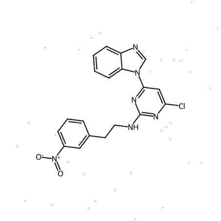 O=[N+]([O-])c1cccc(CCNc2nc(Cl)cc(-n3cnc4ccccc43)n2)c1